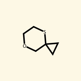 C1CSC2(CC2)CO1